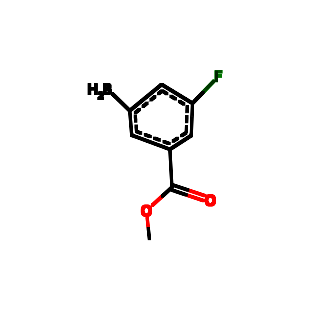 Bc1cc(F)cc(C(=O)OC)c1